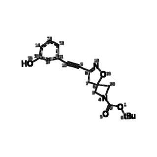 CC(C)(C)OC(=O)N1CC2(CC(C#Cc3cccc(O)c3)=NO2)C1